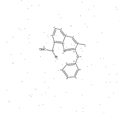 Cc1cc2cccc(C(Br)C=O)c2nc1Oc1ccccc1